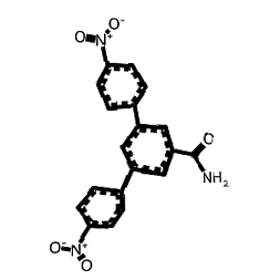 NC(=O)c1cc(-c2ccc([N+](=O)[O-])cc2)cc(-c2ccc([N+](=O)[O-])cc2)c1